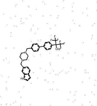 OC(c1ccc(-c2ccc(CN3CCN(Cc4ccc5cc[nH]c5c4)CC3)cc2)cc1)(C(F)(F)F)C(F)(F)F